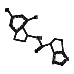 O=C(NC1CCc2cc(Cl)cc(Cl)c21)C1CCc2ncsc21